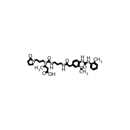 COc1cc(CC(=O)NCCCNC(=O)N(CCCN2CCCC2=O)C(C)CC(=O)O)ccc1NC(=O)Nc1ccccc1C